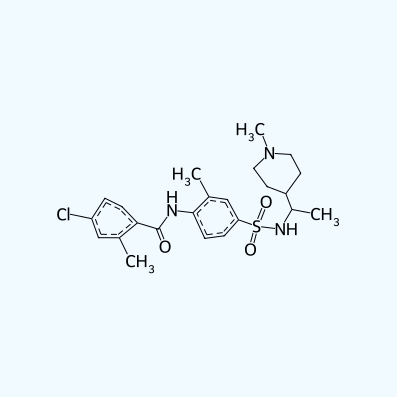 Cc1cc(S(=O)(=O)NC(C)C2CCN(C)CC2)ccc1NC(=O)c1ccc(Cl)cc1C